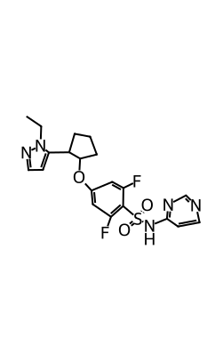 CCn1nccc1C1CCCC1Oc1cc(F)c(S(=O)(=O)Nc2ccncn2)c(F)c1